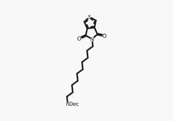 CCCCCCCCCCCCCCCCCCCCN1C(=O)c2cscc2C1=O